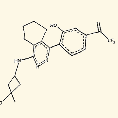 C=C(c1ccc(-c2nnc(NC3CC(C)(O)C3)c3c2CCCC3)c(O)c1)C(F)(F)F